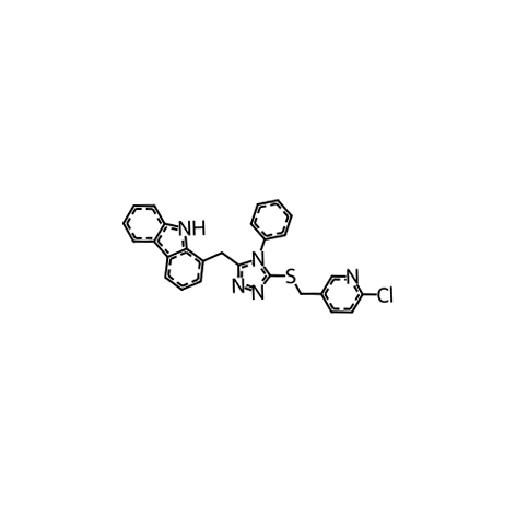 Clc1ccc(CSc2nnc(Cc3cccc4c3[nH]c3ccccc34)n2-c2ccccc2)cn1